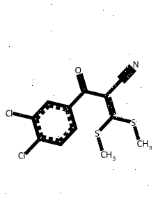 CSC(SC)=C(C#N)C(=O)c1ccc(Cl)c(Cl)c1